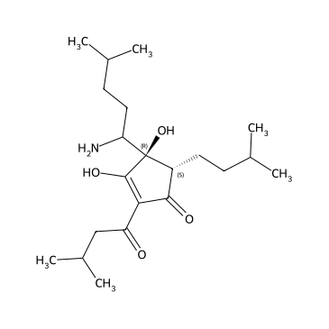 CC(C)CCC(N)[C@@]1(O)C(O)=C(C(=O)CC(C)C)C(=O)[C@H]1CCC(C)C